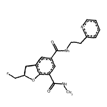 CNC(=O)c1cc(C(=O)NCCc2ccccn2)cc2c1OC(CF)C2